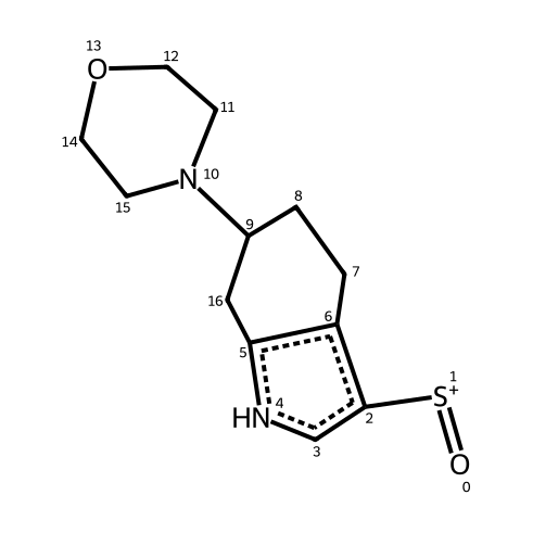 O=[S+]c1c[nH]c2c1CCC(N1CCOCC1)C2